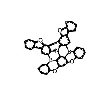 c1ccc2c(c1)Oc1cc3c4c5c1B2c1cc2c6ccccc6oc2c2c6c7oc8ccccc8c7cc(c6n-5c12)B4c1ccccc1O3